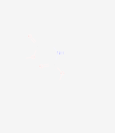 CCCCOC(=O)NC(CC(C)C(C)C)C(=O)OC